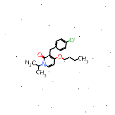 CCCCOc1ccn(C(C)C)c(=O)c1Cc1ccc(Cl)cc1